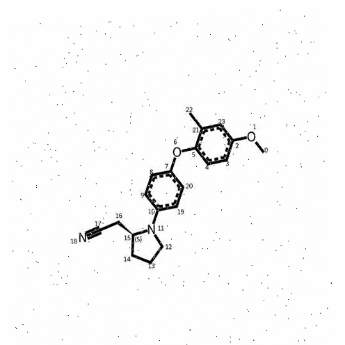 COc1ccc(Oc2ccc(N3CCC[C@H]3CC#N)cc2)c(C)c1